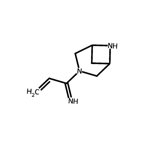 C=CC(=N)N1CC2CC(C1)N2